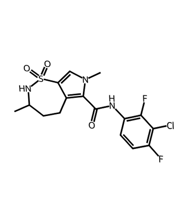 CC1CCc2c(cn(C)c2C(=O)Nc2ccc(F)c(Cl)c2F)S(=O)(=O)N1